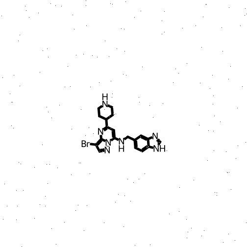 Brc1cnn2c(NCc3ccc4[nH]cnc4c3)cc(C3CCNCC3)nc12